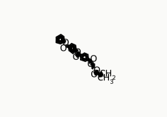 C=C(C)C(=O)OCCOC(=O)C1CCC(C(=O)Oc2ccc(C(=O)Oc3ccccc3)cc2)CC1